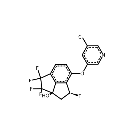 O[C@]12C[C@H](F)c3c(Oc4cncc(Cl)c4)ccc(c31)C(F)(F)C2(F)F